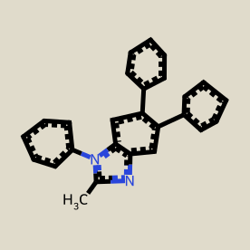 Cc1nc2cc(-c3ccccc3)c(-c3ccccc3)cc2n1-c1ccccc1